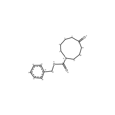 O=C1CCCCN(C(=O)OCc2ccccc2)CCC1